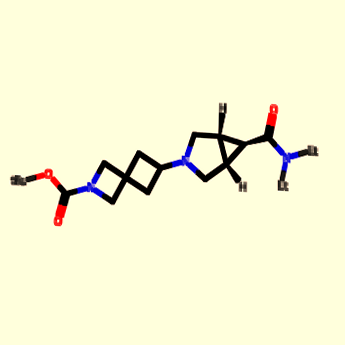 CCN(CC)C(=O)[C@H]1[C@@H]2CN(C3CC4(C3)CN(C(=O)OC(C)(C)C)C4)C[C@@H]21